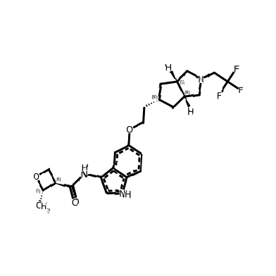 C[C@@H]1OC[C@H]1C(=O)Nc1c[nH]c2ccc(OCC[C@@H]3C[C@@H]4CN(CC(F)(F)F)C[C@@H]4C3)cc12